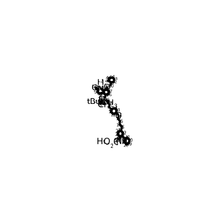 CC(C)(C)[Si](C)(C)O[C@@H](CNCCc1ccc(OCCC=Cc2ccc(NC(=O)O)c(-c3ccccc3)c2)cc1)c1ccc(OCc2ccccc2)c2[nH]c(=O)ccc12